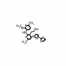 COc1nc(C)ccc1Nc1nc(C)cc(-n2ccc(-c3nccs3)n2)c1CCO